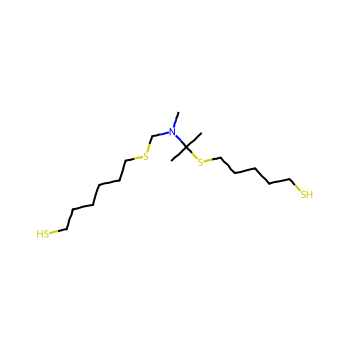 CN(CSCCCCCCS)C(C)(C)SCCCCCS